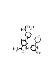 CC(C)c1cc(Nc2nc(N3CCCC(NC(=O)O)C3)ncc2C(N)=O)cc(C2CCOCC2)n1